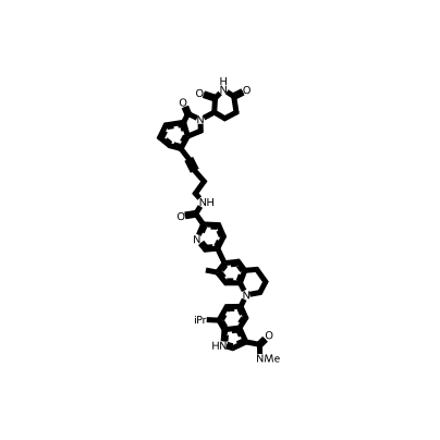 CNC(=O)c1c[nH]c2c(C(C)C)cc(N3CCCc4cc(-c5ccc(C(=O)NCCC#Cc6cccc7c6CN(C6CCC(=O)NC6=O)C7=O)nc5)c(C)cc43)cc12